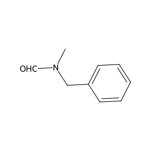 CN(C=O)Cc1ccccc1